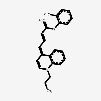 C=C(/C=C/C=C1/C=CN(CCC)c2ccccc21)Sc1ccccc1C